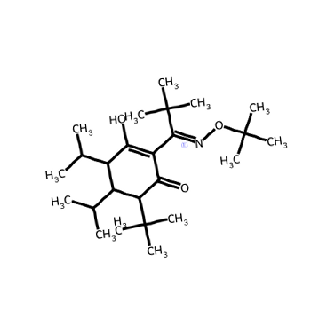 CC(C)C1C(O)=C(/C(=N/OC(C)(C)C)C(C)(C)C)C(=O)C(C(C)(C)C)C1C(C)C